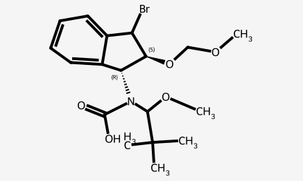 COCO[C@@H]1C(Br)c2ccccc2[C@H]1N(C(=O)O)C(OC)C(C)(C)C